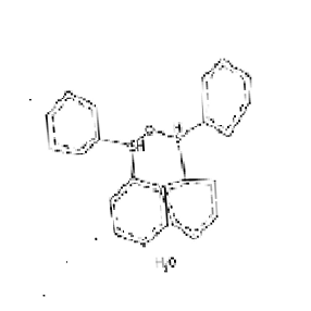 O.c1ccc([SH](O[SH](c2ccccc2)c2ccccc2)c2ccccc2)cc1